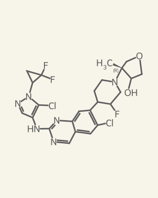 C[C@@]1(N2CCC(c3cc4nc(Nc5cnn(C6CC6(F)F)c5Cl)ncc4cc3Cl)C(F)C2)COCC1O